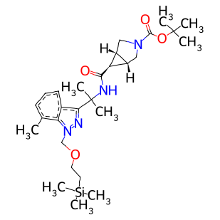 Cc1cccc2c(C(C)(C)NC(=O)[C@H]3[C@@H]4CN(C(=O)OC(C)(C)C)C[C@@H]43)nn(COCC[Si](C)(C)C)c12